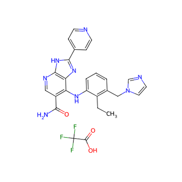 CCc1c(Cn2ccnc2)cccc1Nc1c(C(N)=O)cnc2[nH]c(-c3ccncc3)nc12.O=C(O)C(F)(F)F